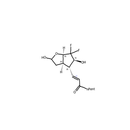 CCCCCC(=O)/C=C/[C@@H]1[C@H]2CC(O)O[C@H]2C(F)(F)[C@H]1O